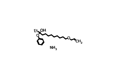 C=CCOCCCCCCCCCC(O)(CC)Oc1ccccc1.N